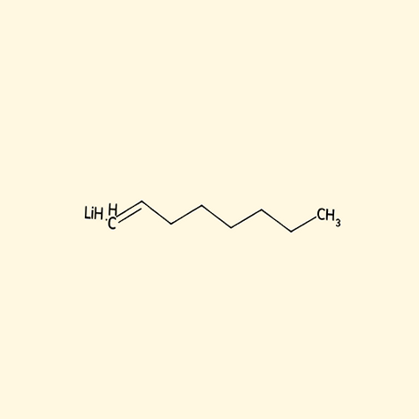 [CH]=CCCCCCC.[LiH]